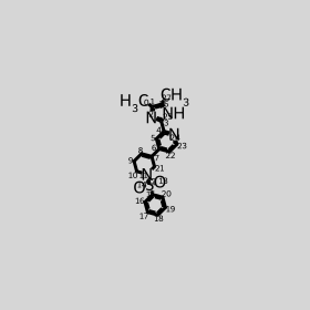 Cc1nc(-c2cc(C3=CCCN(S(=O)(=O)c4ccccc4)C3)ccn2)[nH]c1C